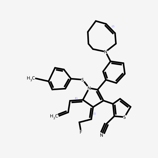 C=C/C=c1\c(=C/CF)c(-c2ccsc2C#N)c(-c2cccc(N3C/C=C\CCCC3)c2)n1Sc1ccc(C)cc1